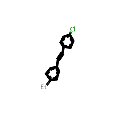 CCc1ccc(C#Cc2ccc(Cl)cc2)cc1